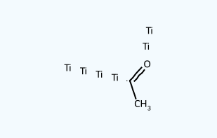 C[C]=O.[Ti].[Ti].[Ti].[Ti].[Ti].[Ti]